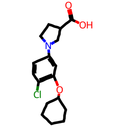 O=C(O)C1CCN(c2ccc(Cl)c(OC3CCCCC3)c2)C1